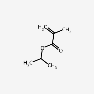 [CH2]C(C)OC(=O)C(=C)C